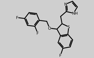 Fc1ccc(COC2c3cc(F)ccc3SC2Cc2ncc[nH]2)c(F)c1